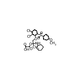 COc1ccc(S(=O)(=O)c2ccc(Cl)c(Cl)c2OCC(C)(NC2CCCCC2)OC(=O)C(=O)O)cc1